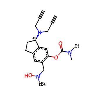 C#CCN(CC#C)[C@@H]1CCc2cc(CN(O)C(C)(C)C)c(OC(=O)N(C)CC)cc21